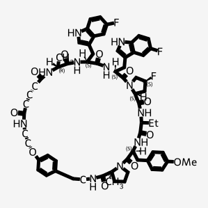 CCC1NC(=O)[C@@H]2C[C@H](F)CN2C(=O)[C@H](Cc2c[nH]c3ccc(F)cc23)NC(=O)[C@H](Cc2c[nH]c3ccc(F)cc23)NC(=O)[C@@H](C)NC(=O)CCCC(=O)NCCOc2ccc(cc2)CCNC(=O)[C@]2(C)CCCN2C(=O)[C@H](Cc2ccc(OC)cc2)NC1=O